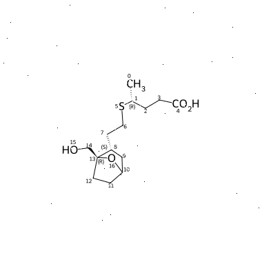 C[C@H](CCC(=O)O)SCC[C@@H]1CC2CC[C@@]1(CO)O2